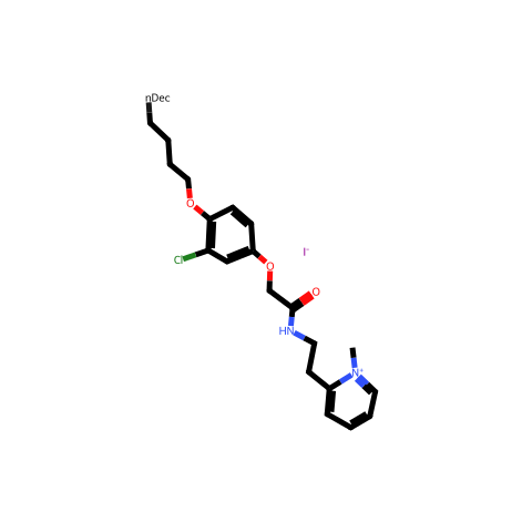 CCCCCCCCCCCCCCOc1ccc(OCC(=O)NCCc2cccc[n+]2C)cc1Cl.[I-]